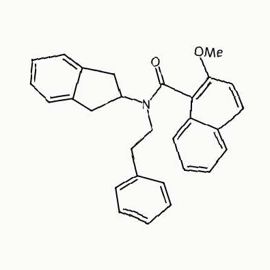 COc1ccc2ccccc2c1C(=O)N(CCc1ccccc1)C1Cc2ccccc2C1